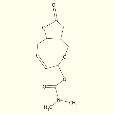 CN(C)C(=O)OC1/C=C\CC2OC(=O)CC2CC1